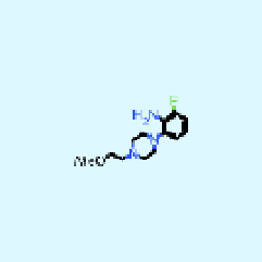 COCCN1CCN(c2cccc(F)c2N)CC1